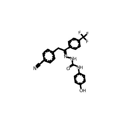 N#Cc1ccc(CC(=NNC(=O)Nc2ccc(O)cc2)c2ccc(C(F)(F)F)cc2)cc1